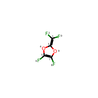 FC(F)=C1OC(F)=C(F)O1